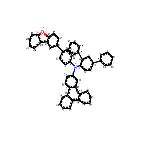 c1ccc(-c2ccc(N(c3ccc(-c4ccc5oc6ccccc6c5c4)cc3)c3ccc4c5ccccc5c5ccccc5c4c3)c(-c3ccccc3)c2)cc1